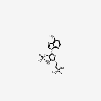 Nc1ncnc2c1ncn2[C@@H]1O[C@H](CCP(=O)(O)O)[C@@H](O)[C@H]1OP(=O)(O)O